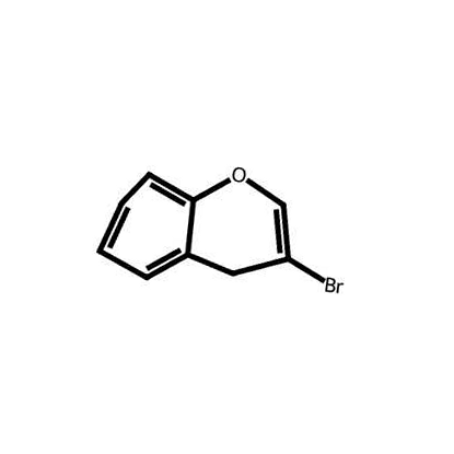 BrC1=COc2ccccc2C1